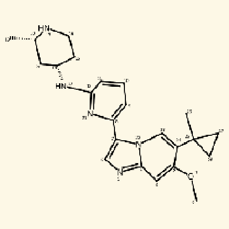 COc1cc2ncc(-c3cccc(N[C@H]4CCN[C@@H](C)C4)n3)n2cc1C1(C)CC1